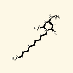 CCCCCCCCCCn1c(C)nc(OC)cc1=O